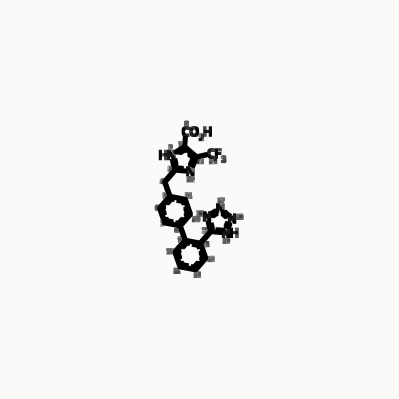 O=C(O)c1[nH]c(Cc2ccc(-c3ccccc3-c3nnn[nH]3)cc2)nc1C(F)(F)F